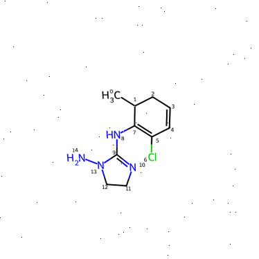 CC1CC=CC(Cl)=C1NC1=NCCN1N